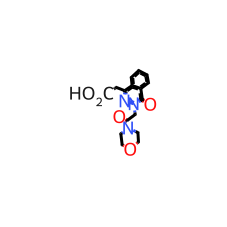 O=C(O)Cc1nn(CC(=O)N2CCOCC2)c(=O)c2ccccc12